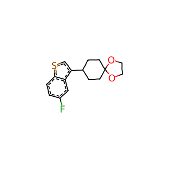 Fc1ccc2scc(C3CCC4(CC3)OCCO4)c2c1